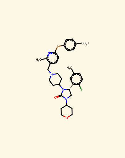 Cc1ccc(F)c([C@@H]2CN(C3CCOCC3)C(=O)N2C2CCN(Cc3ccc(Sc4ccc(C(=O)O)cc4)nc3C)CC2)c1